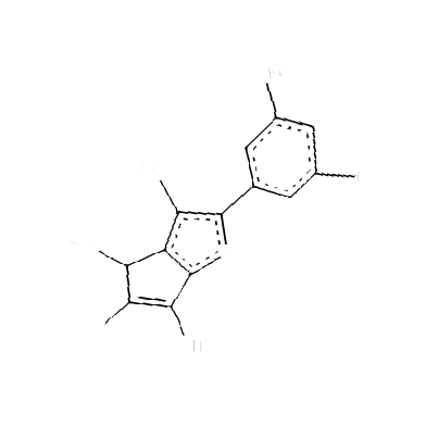 CCCCc1cc(I)cc(-c2sc3c(c2C)C(C)C(C)=C3C)c1